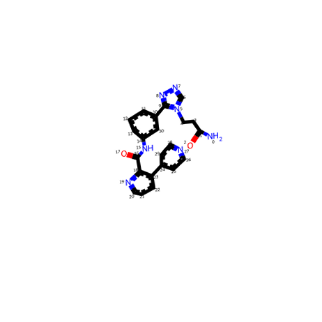 NC(=O)CCn1cnnc1-c1cccc(NC(=O)c2ncccc2-c2ccncc2)c1